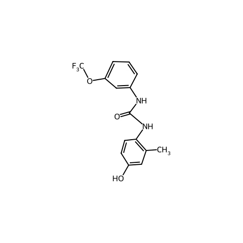 Cc1cc(O)ccc1NC(=O)Nc1cccc(OC(F)(F)F)c1